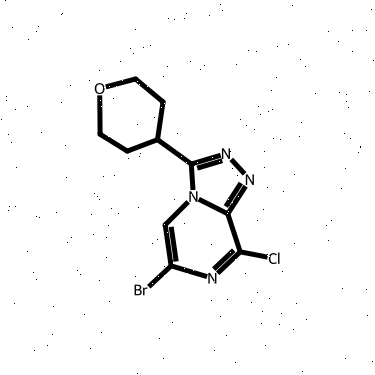 Clc1nc(Br)cn2c(C3CCOCC3)nnc12